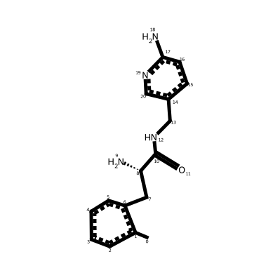 Cc1ccccc1C[C@H](N)C(=O)NCc1ccc(N)nc1